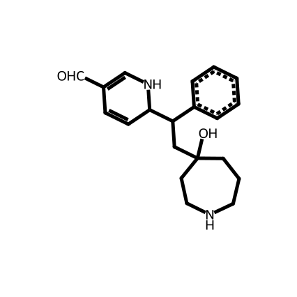 O=CC1=CNC(C(CC2(O)CCCNCC2)c2ccccc2)C=C1